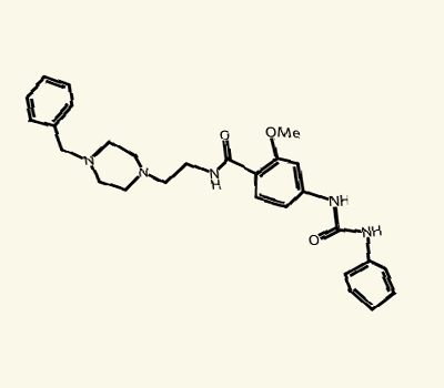 COc1cc(NC(=O)Nc2ccccc2)ccc1C(=O)NCCN1CCN(Cc2ccccc2)CC1